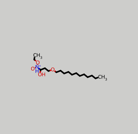 CCCCCCCCCCCCOCCC(O)[NH+]([O-])OCC